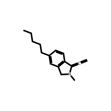 C=C=C1c2ccc(CCCCC)cc2CN1C